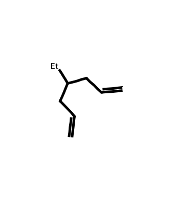 C=CCC(CC)CC=C